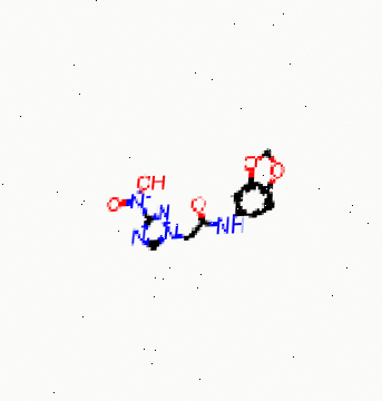 O=C(Cn1cnc([N+](=O)O)n1)Nc1ccc2c(c1)OCO2